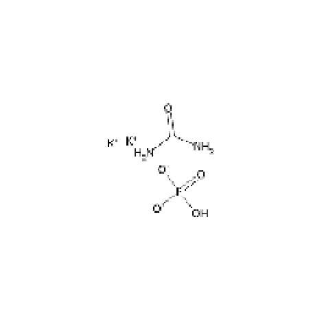 NC(N)=O.O=P([O-])([O-])O.[K+].[K+]